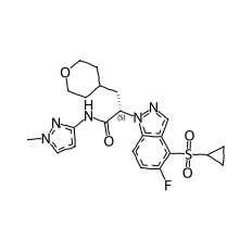 Cn1ccc(NC(=O)[C@H](CC2CCOCC2)n2ncc3c(S(=O)(=O)C4CC4)c(F)ccc32)n1